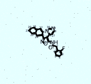 O=C(Cc1ccccc1F)Nc1onc(-c2ccc3ccccc3c2)c1-c1ccncn1